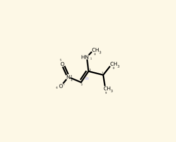 CN/C(=C\[N+](=O)[O-])C(C)C